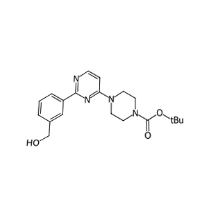 CC(C)(C)OC(=O)N1CCN(c2ccnc(-c3cccc(CO)c3)n2)CC1